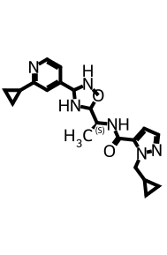 C[C@H](NC(=O)c1ccnn1CC1CC1)C1NC(c2ccnc(C3CC3)c2)NO1